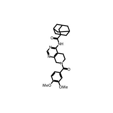 COc1ccc(C(=O)N2CCc3c(ncnc3NC(=O)C34CC5CC(CC(C5)C3)C4)C2)cc1OC